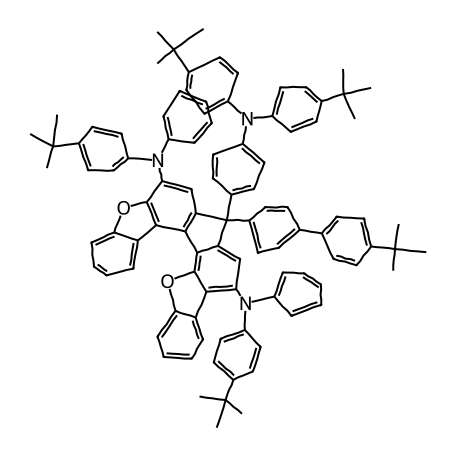 CC(C)(C)c1ccc(-c2ccc(C3(c4ccc(N(c5ccc(C(C)(C)C)cc5)c5ccc(C(C)(C)C)cc5)cc4)c4cc(N(c5ccccc5)c5ccc(C(C)(C)C)cc5)c5c(oc6ccccc65)c4-c4c3cc(N(c3ccccc3)c3ccc(C(C)(C)C)cc3)c3oc5ccccc5c43)cc2)cc1